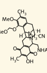 COCOc1c(OC)c(C)cc2c1[C@@H]1C3CC4=C(C(=O)C(O)=C(C)C4=O)C(CNC(C)=O)N3[C@@H](C#N)[C@H](C2)N1C